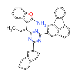 C/C=C(/c1nc(-c2ccc3ccccc3c2)nc(-c2cc3c4c(cccc4c2)-c2ccccc2-3)n1)c1c(N)oc2ccccc12